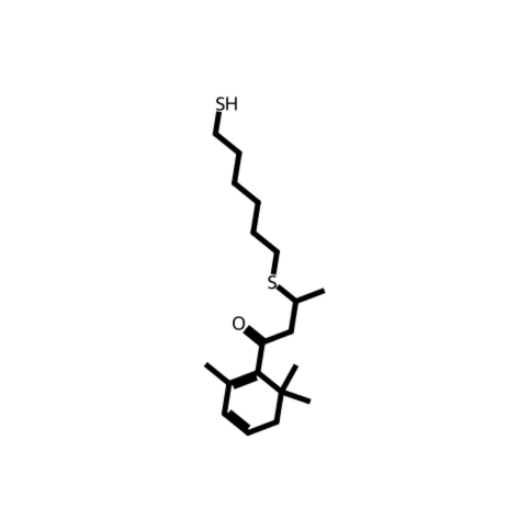 CC1=C(C(=O)CC(C)SCCCCCCS)C(C)(C)CC=C1